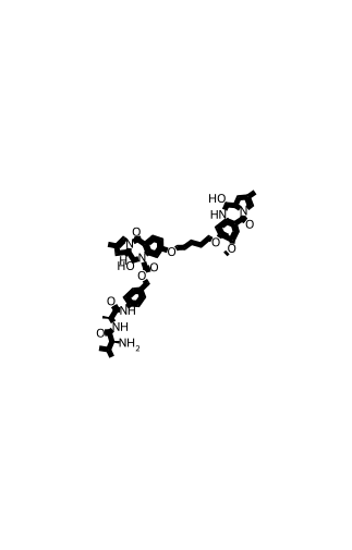 COc1cc2c(cc1OCCCCCOc1ccc3c(c1)N(C(=O)OCc1ccc(NC(=O)[C@H](C)NC(=O)[C@@H](N)C(C)C)cc1)[C@@H](O)[C@@H]1CC(C)=CN1C3=O)N[C@@H](O)C1CC(C)=CN1C2=O